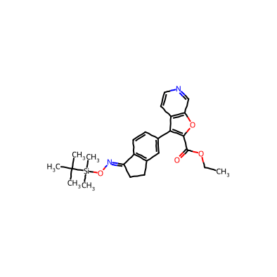 CCOC(=O)c1oc2cnccc2c1-c1ccc2c(c1)CCC2=NO[Si](C)(C)C(C)(C)C